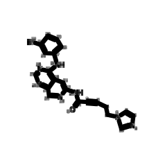 O=C(C#CCCn1ccnc1)Nc1cc2c(Nc3cccc(Br)c3)ncnc2cn1